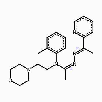 C/C(=N/N=C(\C)c1ccccn1)N(CCN1CCOCC1)c1ccccc1C